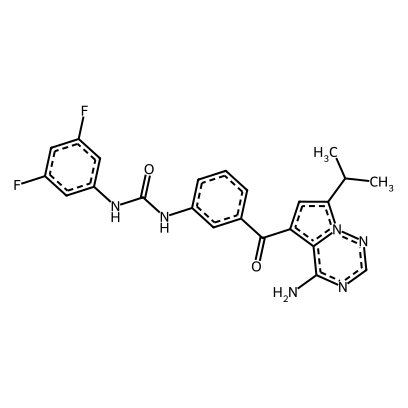 CC(C)c1cc(C(=O)c2cccc(NC(=O)Nc3cc(F)cc(F)c3)c2)c2c(N)ncnn12